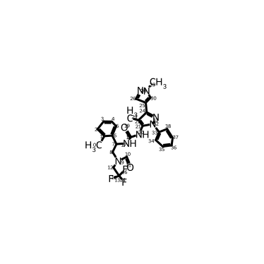 Cc1ccccc1C(CN(C=O)CC(F)(F)F)NC(=O)Nc1c(C)c(-c2cnn(C)c2)nn1-c1ccccc1